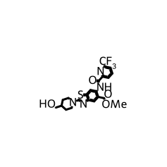 COC(=O)c1cc2nc(N3CCC(CO)CC3)sc2cc1NC(=O)c1cccc(C(F)(F)F)n1